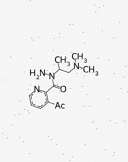 CC(=O)c1cccnc1C(=O)N(N)C(C)CN(C)C